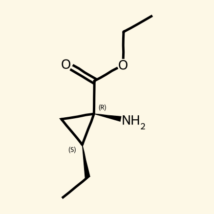 CCOC(=O)[C@@]1(N)C[C@@H]1CC